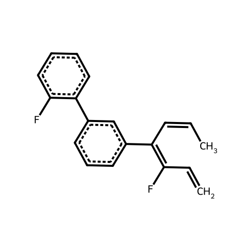 C=C/C(F)=C(\C=C/C)c1cccc(-c2ccccc2F)c1